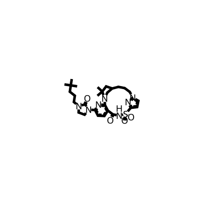 CC(C)(C)CCCN1CCN(c2ccc3c(n2)N2CC(CCCn4ccc(n4)S(=O)(=O)NC3=O)CC2(C)C)C1=O